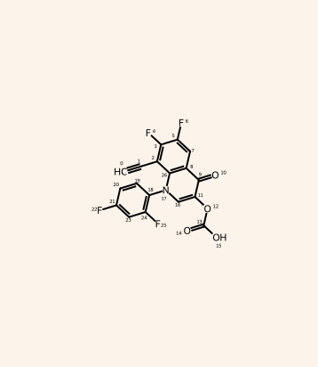 C#Cc1c(F)c(F)cc2c(=O)c(OC(=O)O)cn(-c3ccc(F)cc3F)c12